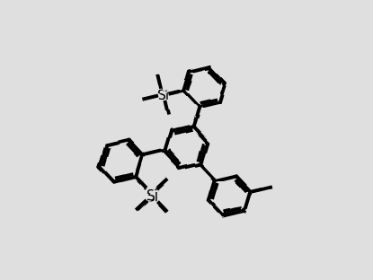 Cc1cccc(-c2cc(-c3ccccc3[Si](C)(C)C)cc(-c3ccccc3[Si](C)(C)C)c2)c1